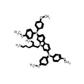 CCCCC(CC)Cn1c2cc(N(c3ccc(OC)cc3)c3ccc(OC)cc3)ccc2c2ccc(N(c3ccc(OC)cc3)c3ccc(OC)cc3)cc21